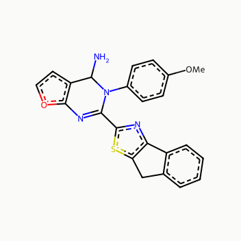 COc1ccc(N2C(c3nc4c(s3)Cc3ccccc3-4)=Nc3occc3C2N)cc1